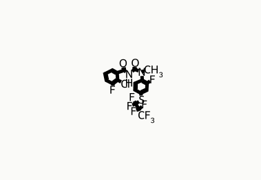 CN(C(=O)NC(=O)c1cccc(F)c1Cl)c1ccc(SC(F)(F)C(F)(F)C(F)(F)F)cc1F